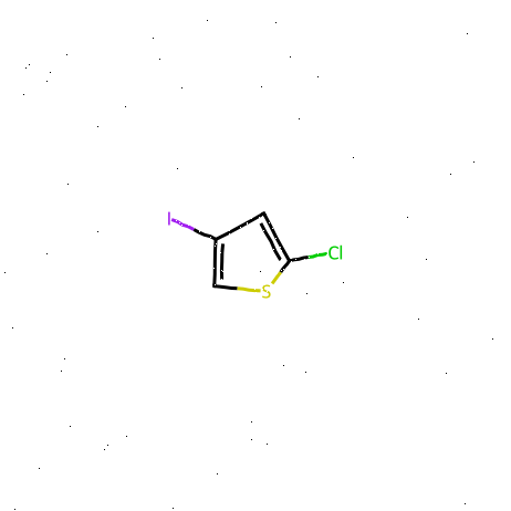 Clc1cc(I)cs1